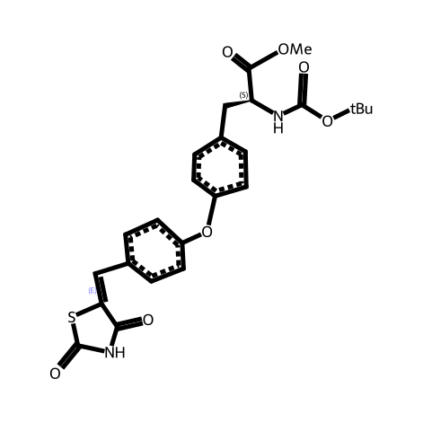 COC(=O)[C@H](Cc1ccc(Oc2ccc(/C=C3/SC(=O)NC3=O)cc2)cc1)NC(=O)OC(C)(C)C